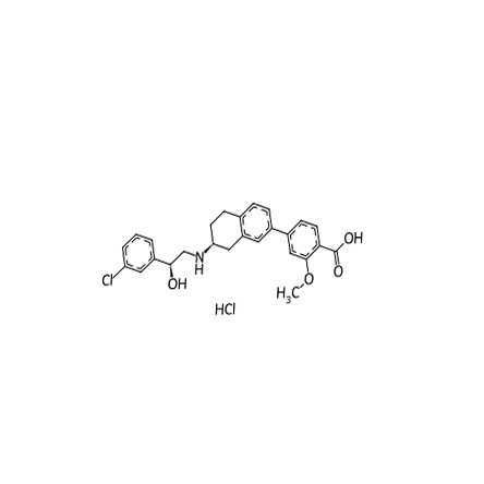 COc1cc(-c2ccc3c(c2)C[C@@H](NC[C@@H](O)c2cccc(Cl)c2)CC3)ccc1C(=O)O.Cl